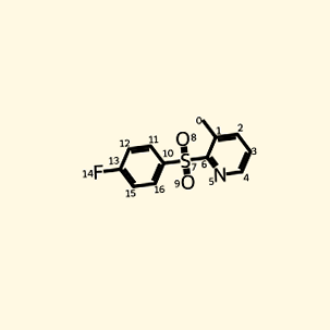 Cc1cccnc1S(=O)(=O)c1ccc(F)cc1